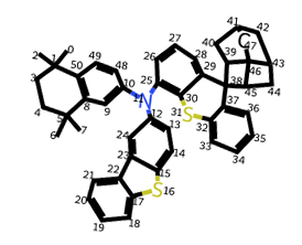 CC1(C)CCC(C)(C)c2cc(N(c3ccc4sc5ccccc5c4c3)c3cccc4c3Sc3ccccc3C43C4CC5CC6CC3C64C5)ccc21